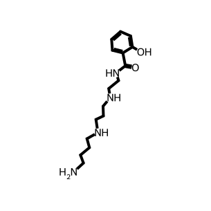 NCCCCNCCCNCCNC(=O)c1ccccc1O